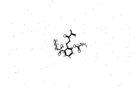 C=C(C)C(=O)CCc1c(OC(N)=O)cccc1S(=O)(=O)N=[N+]=[N-]